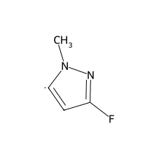 Cn1[c]cc(F)n1